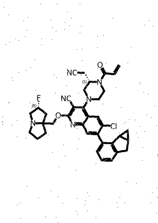 C=CC(=O)N1CCN(c2c(C#N)c(OCC34CCCN3C[C@H](F)C4)nc3cc(-c4cccc5c4C4CC4C5)c(Cl)cc23)C[C@@H]1CC#N